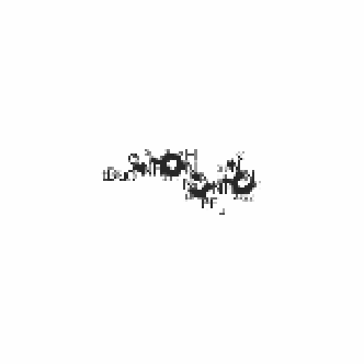 C[C@@H](NC(=O)OC(C)(C)C)c1ccc(Nc2ncc(C(F)(F)F)c(NCc3cccnc3N(C)C)n2)cc1